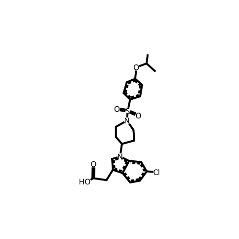 CC(C)Oc1ccc(S(=O)(=O)N2CCC(n3cc(CC(=O)O)c4ccc(Cl)cc43)CC2)cc1